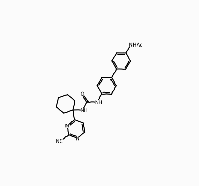 CC(=O)Nc1ccc(-c2ccc(NC(=O)NC3(c4ccnc(C#N)n4)CCCCC3)cc2)cc1